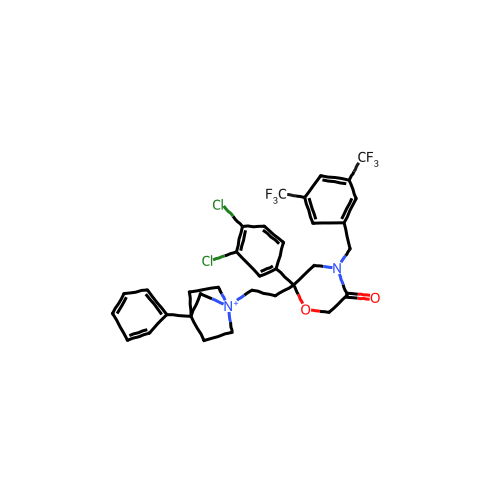 O=C1COC(CC[N+]23CCC(c4ccccc4)(CC2)C3)(c2ccc(Cl)c(Cl)c2)CN1Cc1cc(C(F)(F)F)cc(C(F)(F)F)c1